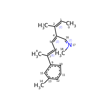 C/C=C(/C)C(=C/C=C(\C)c1cccc(C)c1)/C=N\C